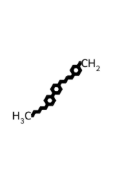 C=CC1CCC(C=CCCC2CCC(C3CCC(CCCCCC)CC3)CC2)CC1